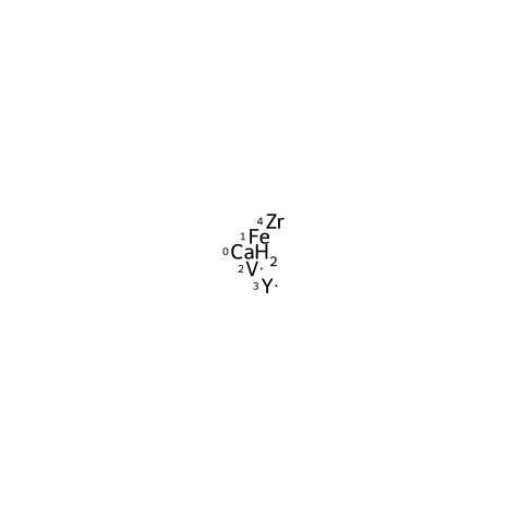 [CaH2].[Fe].[V].[Y].[Zr]